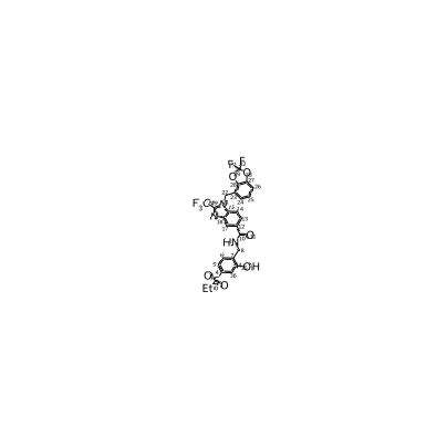 CCS(=O)(=O)c1ccc(CNC(=O)c2ccc3c(c2)nc(C(F)(F)F)n3Cc2cccc3c2OC(F)(F)O3)c(O)c1